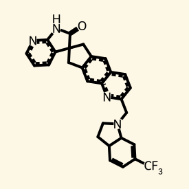 O=C1Nc2ncccc2C12Cc1cc3ccc(CN4CCC5C=CC(C(F)(F)F)=CC54)nc3cc1C2